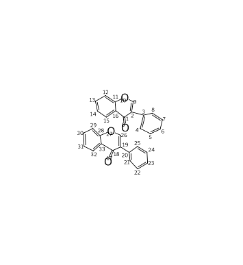 O=c1c(-c2ccccc2)coc2ccccc12.O=c1c(-c2ccccc2)coc2ccccc12